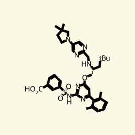 Cc1cccc(C)c1-c1cc(OC[C@@H](CC(C)(C)C)NCc2ncc(N3CCC(C)(C)C3)cn2)nc(NS(=O)(=O)c2cccc(C(=O)O)c2)n1